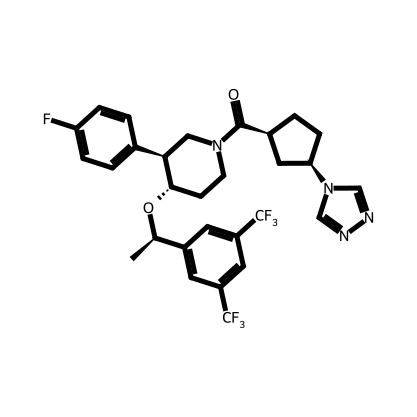 C[C@@H](O[C@H]1CCN(C(=O)[C@H]2CC[C@@H](n3cnnc3)C2)C[C@@H]1c1ccc(F)cc1)c1cc(C(F)(F)F)cc(C(F)(F)F)c1